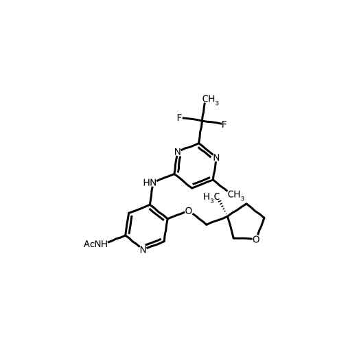 CC(=O)Nc1cc(Nc2cc(C)nc(C(C)(F)F)n2)c(OC[C@@]2(C)CCOC2)cn1